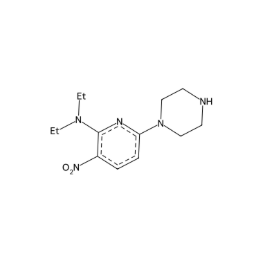 CCN(CC)c1nc(N2CCNCC2)ccc1[N+](=O)[O-]